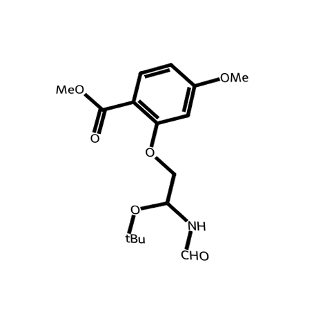 COC(=O)c1ccc(OC)cc1OCC(NC=O)OC(C)(C)C